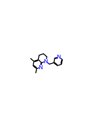 Cc1cc(C)c2c(n1)N(Cc1cccnc1)CCC2